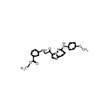 CCOC(=O)c1cccc(NCC(=O)c2cnc3ccc(Nc4ccc(OC)cc4)nn23)c1